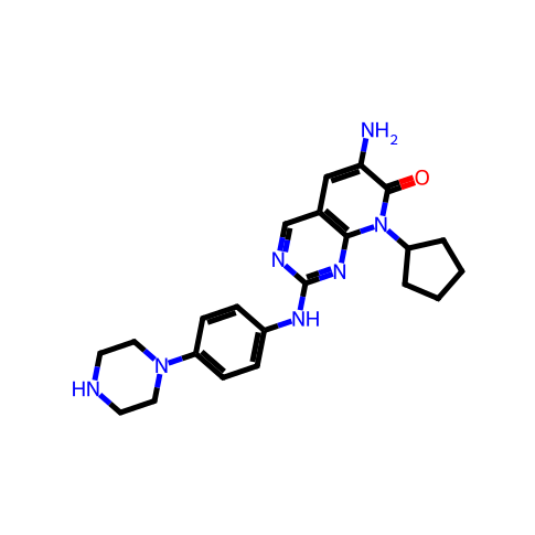 Nc1cc2cnc(Nc3ccc(N4CCNCC4)cc3)nc2n(C2CCCC2)c1=O